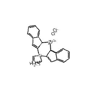 C=C[Si]1(C=C)C2=Cc3ccccc3[CH]2[Zr+2][CH]2C1=Cc1ccccc12.[Cl-].[Cl-]